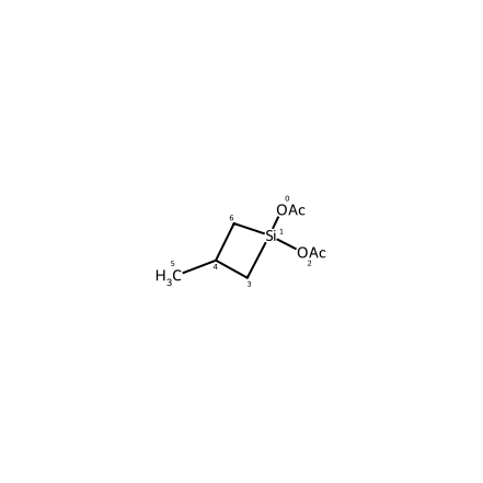 CC(=O)O[Si]1(OC(C)=O)CC(C)C1